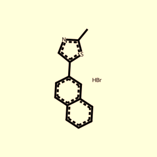 Br.Cc1ncc(-c2ccc3ccccc3c2)s1